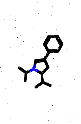 CC(C)[C@@H]1CC(c2ccccc2)=CN1C(C)C